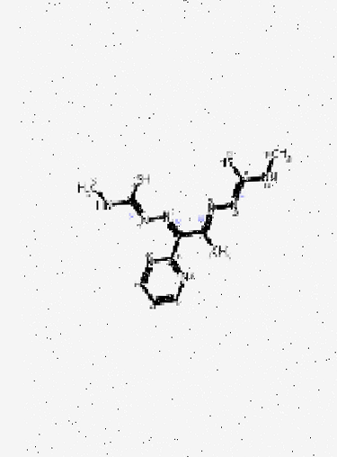 CN/C(S)=N/N=C(/C(C)=N/N=C(\S)NC)c1ncccn1